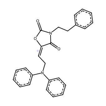 O=C1O/C(=C/CN(c2ccccc2)c2ccccc2)C(=O)N1CCc1ccccc1